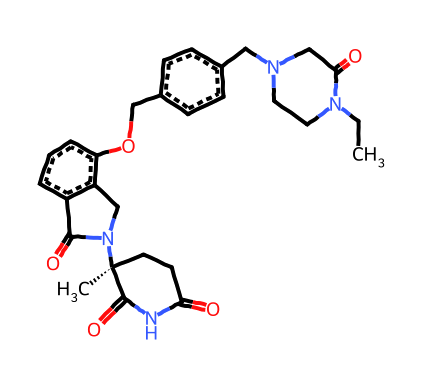 CCN1CCN(Cc2ccc(COc3cccc4c3CN([C@@]3(C)CCC(=O)NC3=O)C4=O)cc2)CC1=O